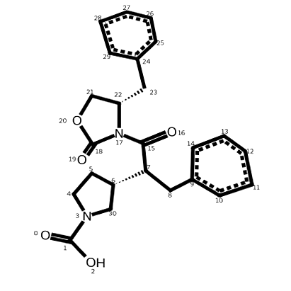 O=C(O)N1CC[C@H](C(Cc2ccccc2)C(=O)N2C(=O)OC[C@@H]2Cc2ccccc2)C1